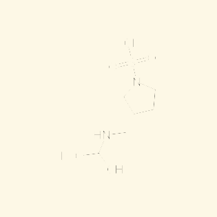 CC(C)NC[C@H]1CCN(S(C)(=O)=O)C1